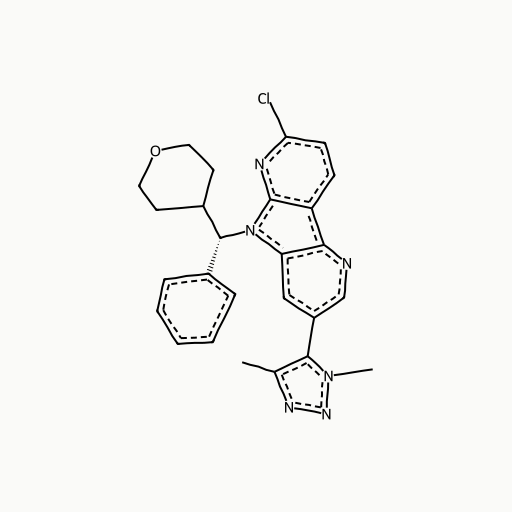 Cc1nnn(C)c1-c1cnc2c3ccc(Cl)nc3n([C@H](c3ccccc3)C3CCOCC3)c2c1